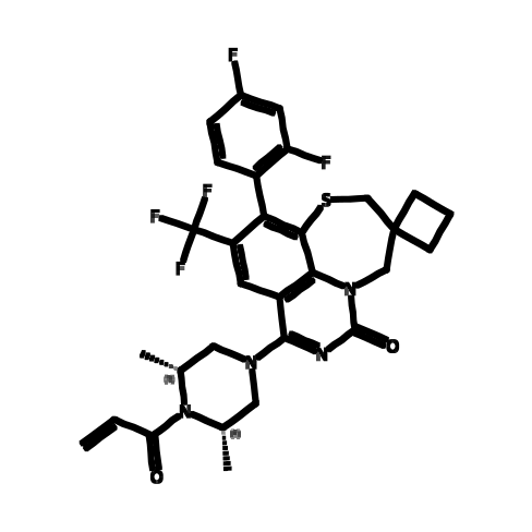 C=CC(=O)N1[C@H](C)CN(c2nc(=O)n3c4c(c(-c5ccc(F)cc5F)c(C(F)(F)F)cc24)SCC2(CCC2)C3)C[C@@H]1C